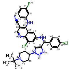 CC(C)(C)N1CCC(n2cc([C@@H](Nc3cc(Cl)c4ncc(C#N)c(Nc5cccc(F)c5)c4c3)c3ccc(Cl)cc3)nn2)CC1